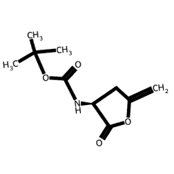 C=C1C[C@H](NC(=O)OC(C)(C)C)C(=O)O1